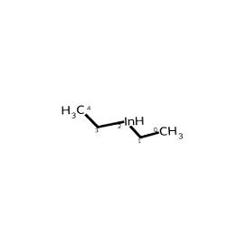 C[CH2][InH][CH2]C